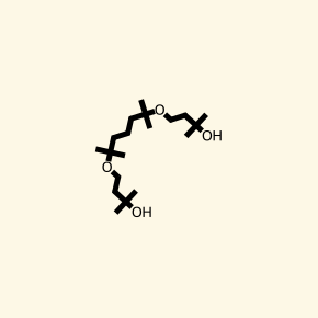 CC(C)(O)CCOC(C)(C)CCCC(C)(C)OCCC(C)(C)O